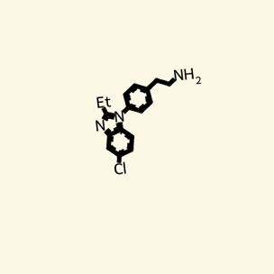 CCc1nc2cc(Cl)ccc2n1-c1ccc(CCN)cc1